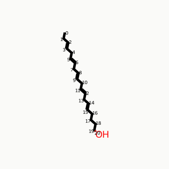 CC/C=C/C/C=C/C/C=C/C/C=C/C/C=C/CCCCO